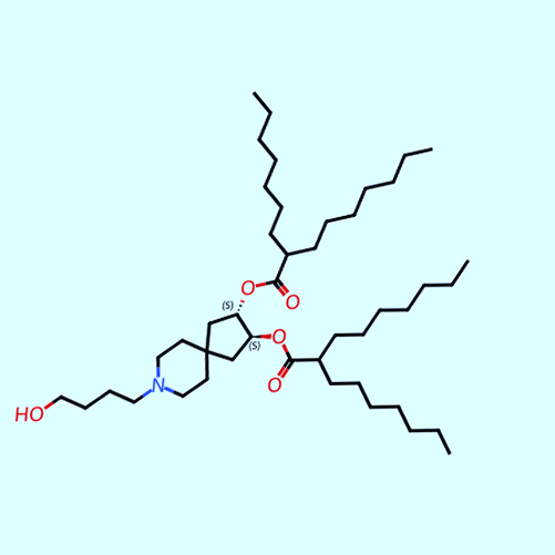 CCCCCCCC(CCCCCCC)C(=O)O[C@H]1CC2(CCN(CCCCO)CC2)C[C@@H]1OC(=O)C(CCCCCCC)CCCCCCC